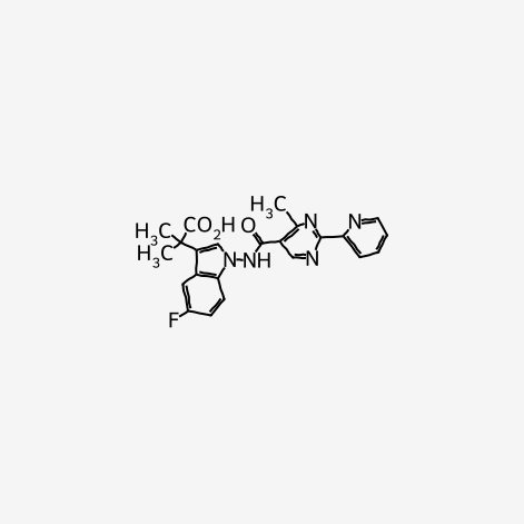 Cc1nc(-c2ccccn2)ncc1C(=O)Nn1cc(C(C)(C)C(=O)O)c2cc(F)ccc21